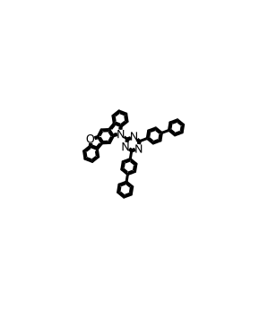 c1ccc(-c2ccc(-c3nc(-c4ccc(-c5ccccc5)cc4)nc(-n4c5ccccc5c5cc6oc7ccccc7c6cc54)n3)cc2)cc1